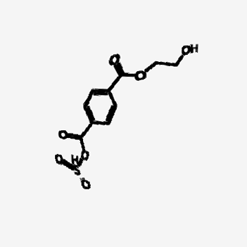 O=C(OCCO)c1ccc(C(=O)O[SH](=O)=O)cc1